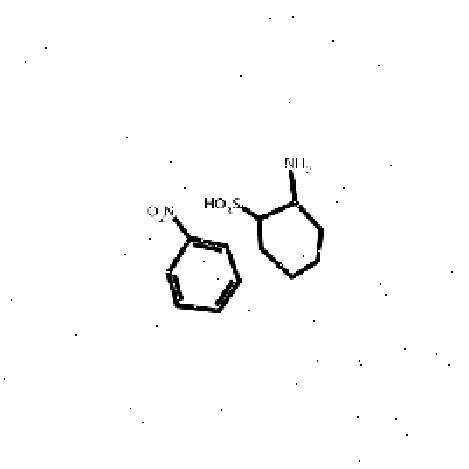 NC1CCCCC1S(=O)(=O)O.O=[N+]([O-])c1ccccc1